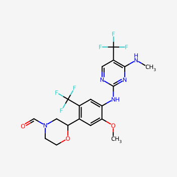 CNc1nc(Nc2cc(C(F)(F)F)c(C3CN(C=O)CCO3)cc2OC)ncc1C(F)(F)F